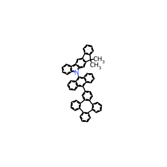 CC1(C)c2ccccc2-c2cc3c4ccccc4n(-c4c5ccccc5c(-c5ccc6c(c5)-c5ccccc5-c5ccccc5-c5ccccc5-6)c5ccccc45)c3cc21